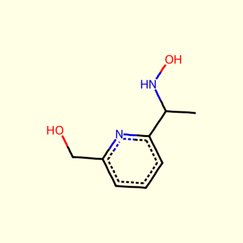 CC(NO)c1cccc(CO)n1